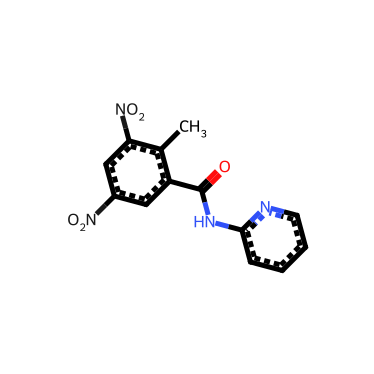 Cc1c(C(=O)Nc2ccccn2)cc([N+](=O)[O-])cc1[N+](=O)[O-]